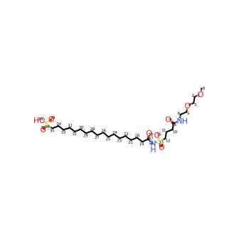 COCCOCCNC(=O)CCCS(=O)(=O)NC(=O)CCCCCCCCCCCCCCCCCS(=O)(=O)O